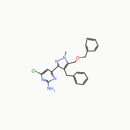 Cn1nc(-c2cc(Cl)nc(N)n2)c(Cc2ccccc2)c1COCc1ccccc1